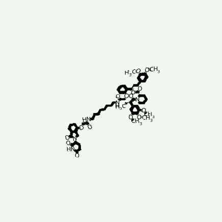 CC[C@H](C(=O)N1CCCC[C@H]1C(=O)O[C@H](CCc1ccc(OC)c(OC)c1)c1ccccc1OCC(=O)NCCCCCCCCNC(=O)COC1=C2CN(C3CCC(=O)NC3=O)C(=O)C2=CCC1)c1cc(OC)c(OC)c(OC)c1